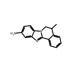 CC1Cn2c(nc3cc(N)ccc32)-c2ccccc21